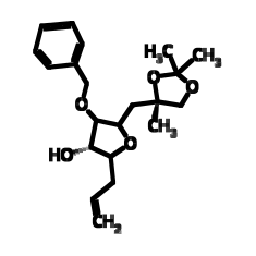 C=CCC1OC(C[C@@]2(C)COC(C)(C)O2)C(OCc2ccccc2)[C@H]1O